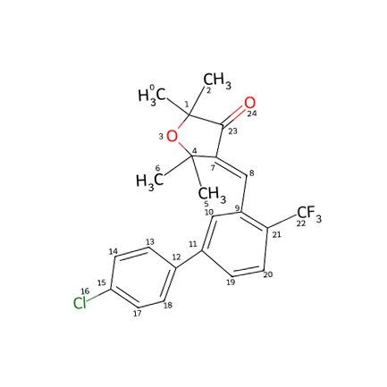 CC1(C)OC(C)(C)C(=Cc2cc(-c3ccc(Cl)cc3)ccc2C(F)(F)F)C1=O